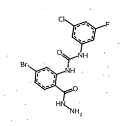 NNC(=O)c1ccc(Br)cc1NC(=O)Nc1cc(F)cc(Cl)c1